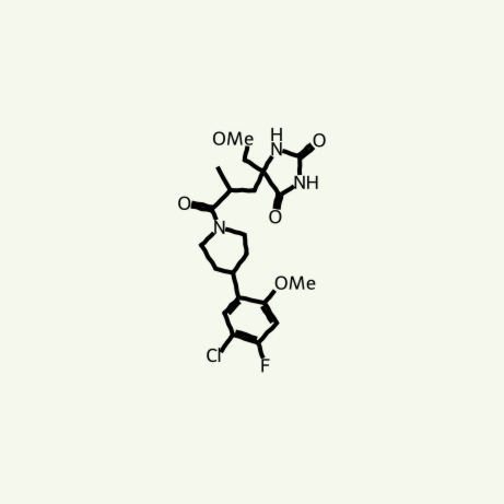 COCC1(CC(C)C(=O)N2CCC(c3cc(Cl)c(F)cc3OC)CC2)NC(=O)NC1=O